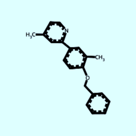 Cc1ccnc(-c2ccc(OCc3ccccc3)c(C)c2)c1